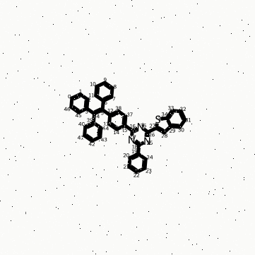 c1ccc(C(=C(c2ccccc2)c2ccc(-c3nc(-c4ccccc4)nc(-c4cc5ccccc5s4)n3)cc2)c2ccccc2)cc1